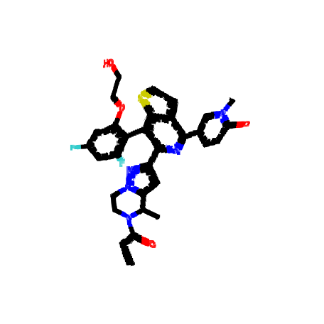 C=CC(=O)N1CCn2nc(-c3nc(-c4ccc(=O)n(C)c4)c4ccsc4c3-c3c(F)cc(F)cc3OCCO)cc2C1C